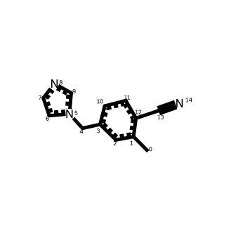 Cc1cc(Cn2ccnc2)ccc1C#N